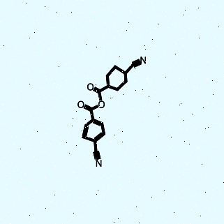 N#Cc1ccc(C(=O)OC(=O)C2CCC(C#N)CC2)cc1